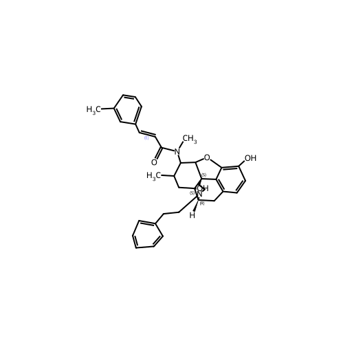 Cc1cccc(/C=C/C(=O)N(C)C2C(C)C[C@@]3(O)[C@H]4Cc5ccc(O)c6c5[C@@]3(CCN4CCc3ccccc3)C2O6)c1